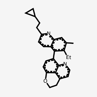 CCc1c(C)cc2nc(CCC3CC3)ccc2c1-c1ccc2c3c(ccnc13)CCO2